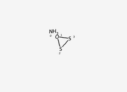 N.o1ss1